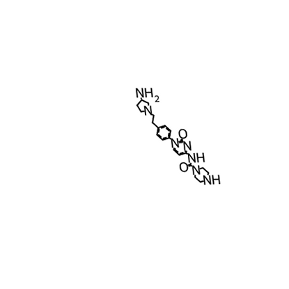 N[C@@H]1CCN(CCc2ccc(-n3ccc(NC(=O)N4CCNCC4)nc3=O)cc2)C1